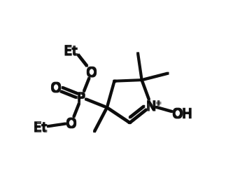 CCOP(=O)(OCC)C1(C)C=[N+](O)C(C)(C)C1